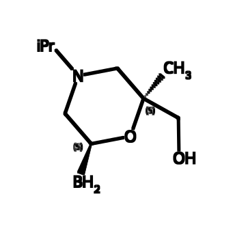 B[C@H]1CN(C(C)C)C[C@@](C)(CO)O1